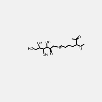 CNC(CCCCNCC(=O)C(O)C(O)C(O)CO)C(C)=O